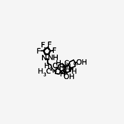 CC(CCc1nc2c(F)c(F)c(F)c(F)c2[nH]1)[C@H]1CC[C@H]2[C@@H]3[C@H](O)C[C@@H]4C[C@H](O)CC[C@]4(C)[C@H]3CC[C@]12C